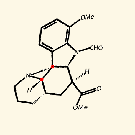 COC(=O)[C@H]1C[C@@]23CCCN4CC[C@@]5(c6cccc(OC)c6N(C=O)[C@]15CC2)[C@@H]43